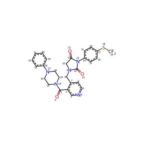 O=C(c1cnccc1CN1CC(=O)N(c2ccc(SC(F)(F)F)cc2)C1=O)N1CCN(c2ccccc2)CC1